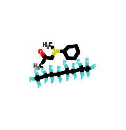 CC(=O)C[S+](C)C1CCCCC1.FC(F)(F)C(F)(F)C(F)(F)C(F)(F)C(F)(F)C(F)(F)C(F)(F)C(F)(F)F